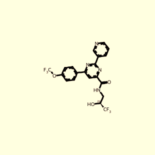 O=C(NC[C@H](O)C(F)(F)F)c1cc(-c2ccc(OC(F)(F)F)cc2)nc(-c2cccnc2)n1